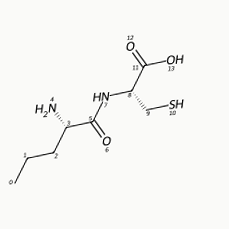 CCC[C@H](N)C(=O)N[C@@H](CS)C(=O)O